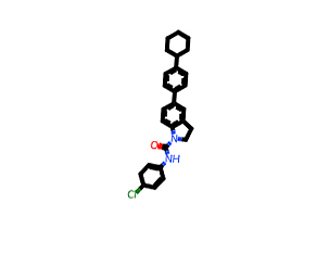 O=C(NC1=CCC(Cl)C=C1)N1CCc2cc(-c3ccc(C4CCCCC4)cc3)ccc21